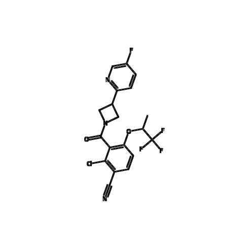 CC(Oc1ccc(C#N)c(Cl)c1C(=O)N1CC(c2ccc(F)cn2)C1)C(F)(F)F